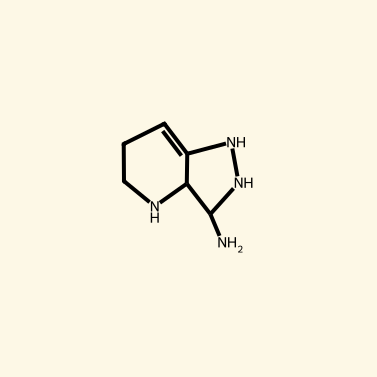 NC1NNC2=CCCNC21